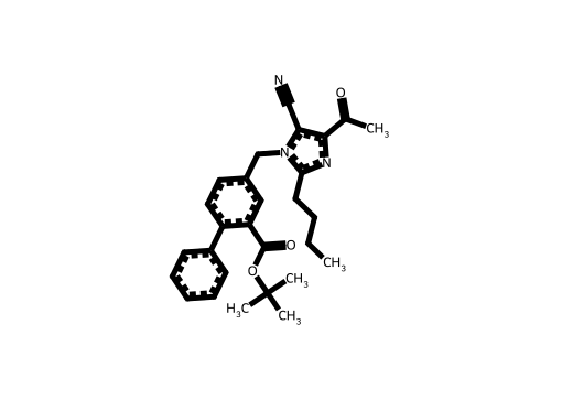 CCCCc1nc(C(C)=O)c(C#N)n1Cc1ccc(-c2ccccc2)c(C(=O)OC(C)(C)C)c1